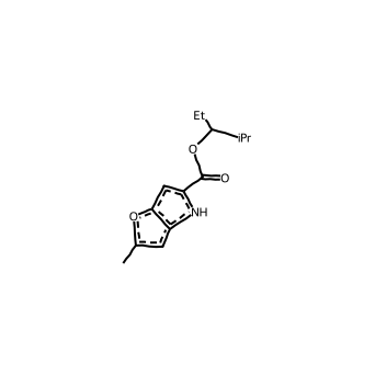 CCC(OC(=O)c1cc2oc(C)cc2[nH]1)C(C)C